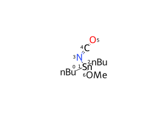 CCC[CH2][Sn]([CH2]CCC)([N]=C=O)[O]C